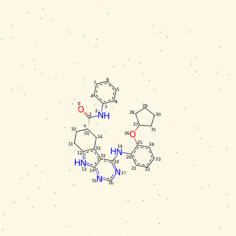 O=C(Nc1ccccc1)[C@H]1CCc2[nH]c3ncnc(Nc4ccccc4OC4CCCC4)c3c2C1